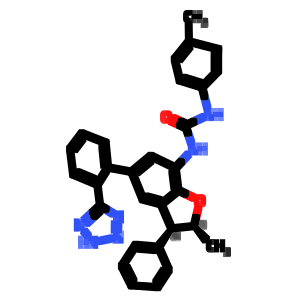 Cc1ccc(NC(=O)Nc2cc(-c3ccccc3-c3nn[nH]n3)cc3c2O[C@@H](C)[C@H]3c2ccccc2)cc1